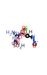 CC1(C)[C@H](ONC(=O)/C(=N\O[C@@H](COc2ccc(-c3cnn(CC[N+]4(C)CCOCC4)c3)cc2)C(=O)O)c2csc(N)n2)C(=O)N1OS(=O)(=O)O.O=C([O-])C(F)(F)F